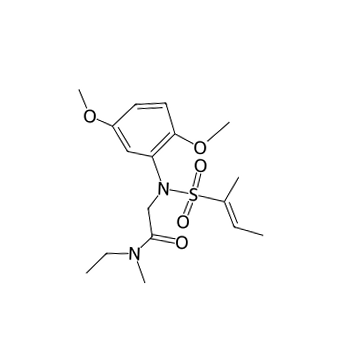 C/C=C(\C)S(=O)(=O)N(CC(=O)N(C)CC)c1cc(OC)ccc1OC